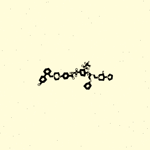 O=C(NS(=O)(=O)c1ccc(N[C@H](CCN2CCC(N3CCCC3)C(F)C2)CSc2ccccc2)c(S(=O)(=O)C(F)(F)F)c1)c1ccc(N2CCN(Cc3ccccc3-c3ccc(Cl)cc3)CC2)cc1